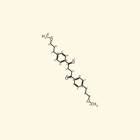 COCCCc1ccc(C(=O)CCC(=O)c2ccc(CCCOC)cc2)cc1